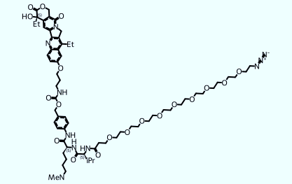 CCc1c2c(nc3ccc(OCCCNC(=O)OCc4ccc(NC(=O)[C@H](CCCCNC)NC(=O)[C@@H](NC(=O)CCOCCOCCOCCOCCOCCOCCOCCOCCOCCN=[N+]=[N-])C(C)C)cc4)cc13)-c1cc3c(c(=O)n1C2)COC(=O)[C@]3(O)CC